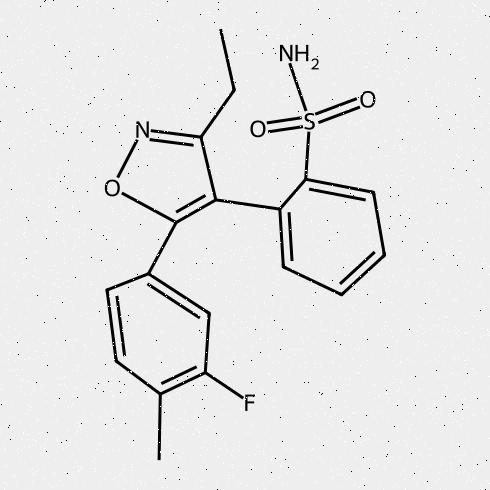 CCc1noc(-c2ccc(C)c(F)c2)c1-c1ccccc1S(N)(=O)=O